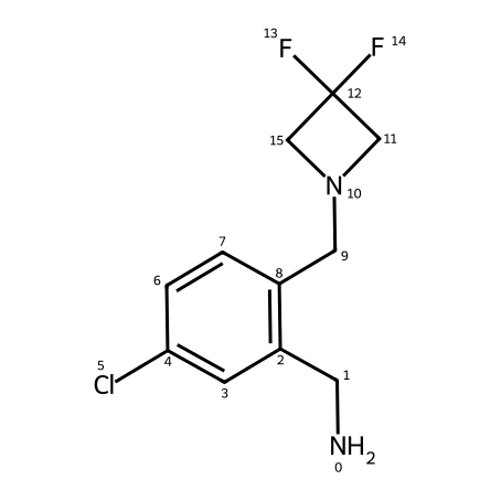 NCc1cc(Cl)ccc1CN1CC(F)(F)C1